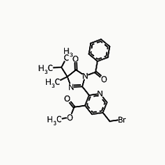 COC(=O)c1cc(CBr)cnc1C1=NC(C)(C(C)C)C(=O)N1C(=O)c1ccccc1